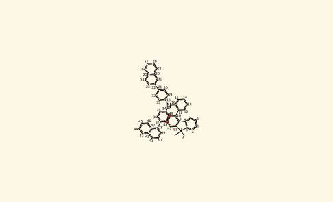 CC1(C)c2ccccc2-c2c(-c3ccccc3N(c3ccc(-c4ccc5ccccc5c4)cc3)c3ccc(-c4cccc5ccccc45)cc3)cccc21